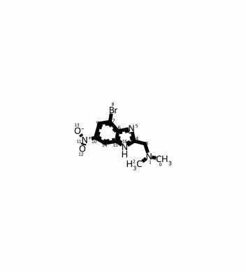 CN(C)Cc1nc2c(Br)cc([N+](=O)[O-])cc2[nH]1